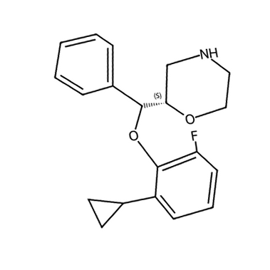 Fc1cccc(C2CC2)c1OC(c1ccccc1)[C@@H]1CNCCO1